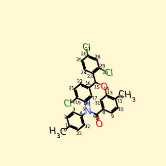 Cc1ccc(NC(=O)c2ccc(C)c(OC(c3ccc(Cl)cc3)c3ccc(Cl)cc3Cl)c2)cc1